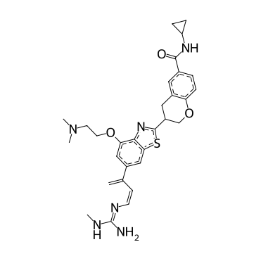 C=C(/C=C\N=C(/N)NC)c1cc(OCCN(C)C)c2nc(C3COc4ccc(C(=O)NC5CC5)cc4C3)sc2c1